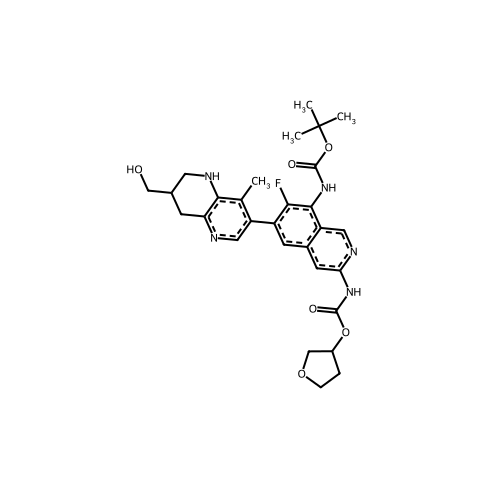 Cc1c(-c2cc3cc(NC(=O)OC4CCOC4)ncc3c(NC(=O)OC(C)(C)C)c2F)cnc2c1NCC(CO)C2